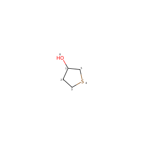 OC1[CH]CSC1